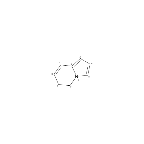 C1=Cc2cccn2CC1